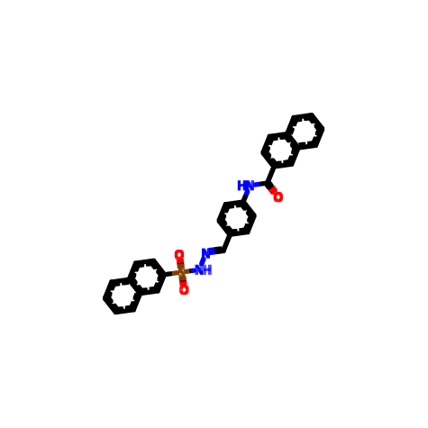 O=C(Nc1ccc(C=NNS(=O)(=O)c2ccc3ccccc3c2)cc1)c1ccc2ccccc2c1